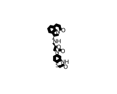 O=C1CSc2ccc(N3C[C@@H](CNC[C@H]4Cn5c(=O)ccc6cccc4c65)OC3=O)cc2N1